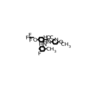 COc1ccc(NC(=O)c2ccc(OCC(F)(F)F)cc2Nc2ccc(F)cc2C)c(C)n1